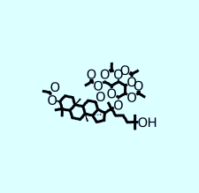 CC(=O)OCC1O[C@@H](OC(C)(CCCC(C)(C)O)C2CC[C@]3(C)C2C(=O)CC2[C@@]4(C)CC[C@H](OC(C)=O)C(C)(C)C4CC[C@]23C)C(OC(C)=O)C(OC(C)=O)[C@@H]1OC(C)=O